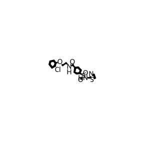 O=C(NCCOc1ccccc1Cl)c1ccc(S(=O)(=O)Nc2nccs2)cc1